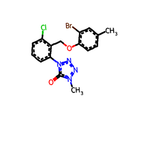 Cc1ccc(OCc2c(Cl)cccc2-n2nnn(C)c2=O)c(Br)c1